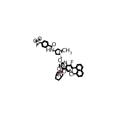 CN1C[C@H](NC(=O)c2ccc(S(=O)(=O)F)cc2)C[C@H]1COc1nc(N2CC3CCC(C2)N3C(=O)OC(C)(C)C)c2cnc(-c3cccc4cccc(Cl)c34)c(F)c2n1